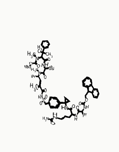 C/C(=C\C(C(C)C)N(C)C(=O)C(NC(=O)C(N(C)C(=O)OC(C)(C)C)C(C)(C)c1ccccc1)C(C)(C)C)C(=O)NS(=O)(=O)Cc1ccc(C2(NC(=O)C(CCCNC(N)=O)NC(=O)C(NC(=O)OCC3c4ccccc4-c4ccccc43)C(C)C)CC2)cc1